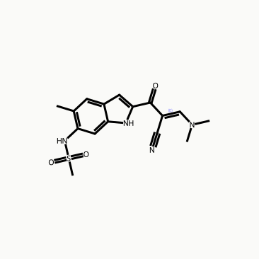 Cc1cc2cc(C(=O)/C(C#N)=C/N(C)C)[nH]c2cc1NS(C)(=O)=O